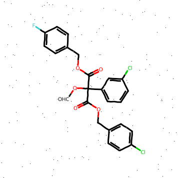 O=[C]OC(C(=O)OCc1ccc(F)cc1)(C(=O)OCc1ccc(Cl)cc1)c1cccc(Cl)c1